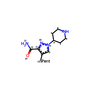 CCCCCc1cn(C2CCNCC2)nc1C(N)=O